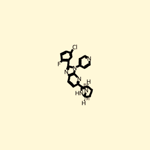 Fc1ccc(Cl)cc1-c1nc2ccc(N3C[C@H]4CC[C@@H]3CN4)nc2n1-c1ccncc1